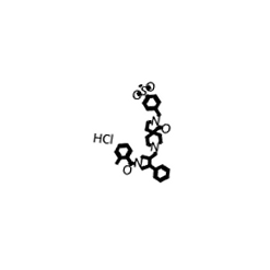 Cc1ccccc1C(=O)N1CC(CN2CCC3(CC2)CCN(Cc2ccc(S(C)(=O)=O)cc2)C3=O)C(c2ccccc2)C1.Cl